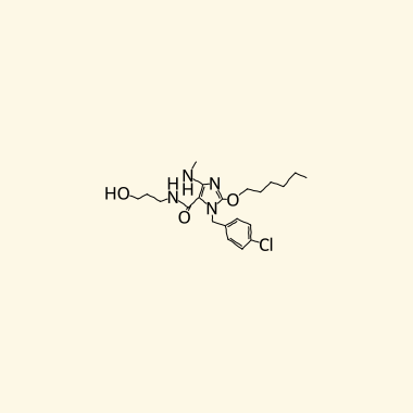 CCCCCCOc1nc(NC)c(C(=O)NCCCO)n1Cc1ccc(Cl)cc1